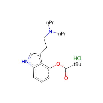 CCCN(CCC)CCc1c[nH]c2cccc(OC(=O)C(C)(C)C)c12.Cl